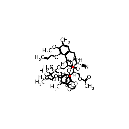 C=CCOC(=O)N1[C@@H]2c3c(cc(C)c(OC)c3OCC=C)C[C@H]1[C@H](C#N)N([C@@H](COC(C)=O)c1cc(OCOC)c(C)c3c1OCO3)[C@H]2CO[Si](C)(C)C(C)(C)C